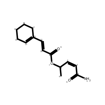 CC(/C=C\C(N)=O)OC(=O)/C=C/C1=CCCCC1